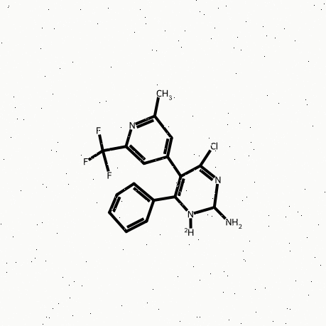 [2H]N1C(c2ccccc2)=C(c2cc(C)nc(C(F)(F)F)c2)C(Cl)=NC1N